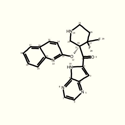 O=C(c1cc2nccnc2[nH]1)[C@@]1(Oc2ccc3ccccc3n2)CNCCC1(F)F